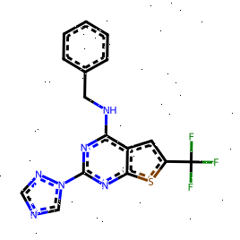 FC(F)(F)c1cc2c(NCc3ccccc3)nc(-n3cncn3)nc2s1